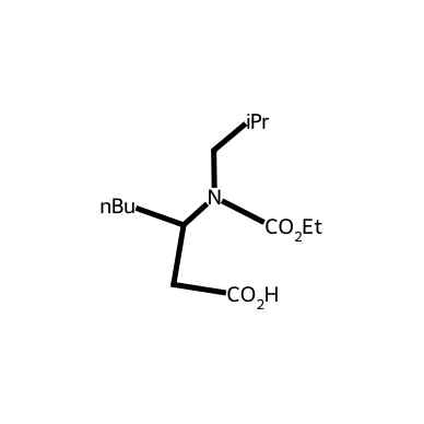 CCCCC(CC(=O)O)N(CC(C)C)C(=O)OCC